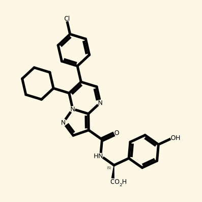 O=C(N[C@H](C(=O)O)c1ccc(O)cc1)c1cnn2c(C3CCCCC3)c(-c3ccc(Cl)cc3)cnc12